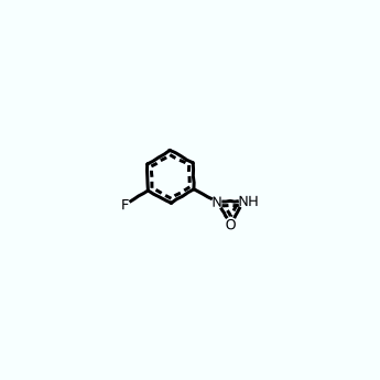 Fc1cccc(-n2[nH]o2)c1